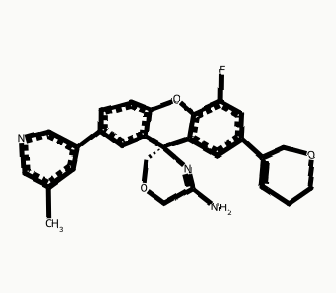 Cc1cncc(-c2ccc3c(c2)[C@@]2(COCC(N)=N2)c2cc(C4=CCCOC4)cc(F)c2O3)c1